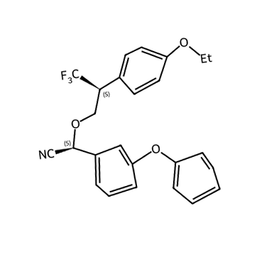 CCOc1ccc([C@@H](CO[C@H](C#N)c2cccc(Oc3ccccc3)c2)C(F)(F)F)cc1